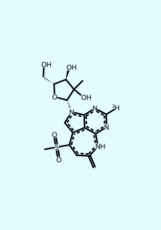 [3H]c1nc2[nH]c(=C)cc(S(C)(=O)=O)c3cn([C@@H]4O[C@H](CO)[C@@H](O)C4(C)O)c(n1)c23